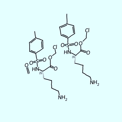 C=O.Cc1ccc(S(=O)(=O)N[C@@H](CCCCN)C(=O)OCCl)cc1.Cc1ccc(S(=O)(=O)N[C@@H](CCCCN)C(=O)OCCl)cc1